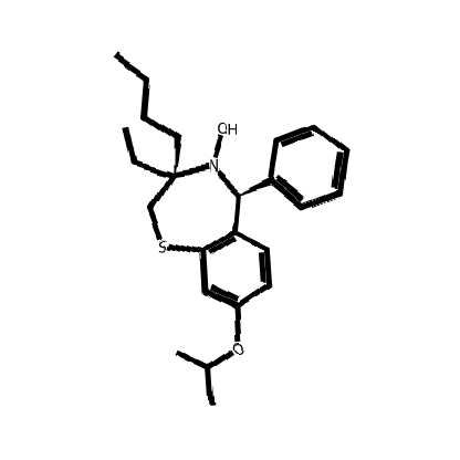 CCCC[C@]1(CC)CSc2cc(OC(C)C)ccc2[C@H](c2ccccc2)N1O